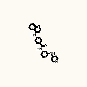 O=C(Nc1cccc(Nc2ccncc2)c1)c1ccc(Nc2ccnc3ccccc23)cc1